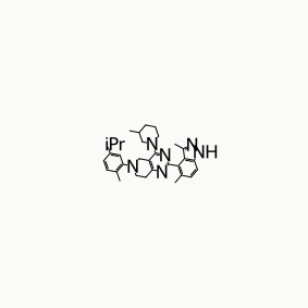 Cc1ccc(C(C)C)cc1N1CCc2nc(-c3c(C)ccc4[nH]nc(C)c34)nc(N3CCCC(C)C3)c2C1